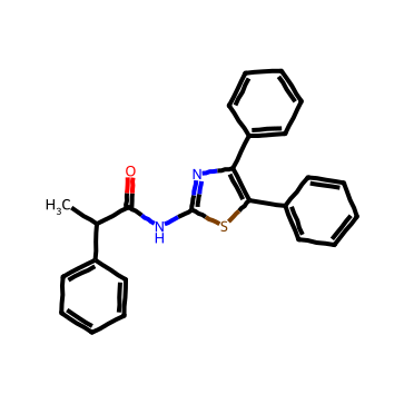 CC(C(=O)Nc1nc(-c2ccccc2)c(-c2ccccc2)s1)c1ccccc1